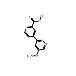 COC(=O)c1cc(-c2cc(OC)cnn2)ccn1